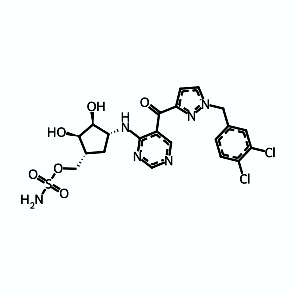 NS(=O)(=O)OC[C@H]1C[C@@H](Nc2ncncc2C(=O)c2ccn(Cc3ccc(Cl)c(Cl)c3)n2)[C@H](O)[C@@H]1O